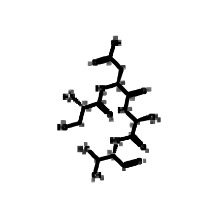 CC(C)[C@@H]([C]=O)NC(=O)[C@H](C)NC(=O)[C@H](CC(=O)O)NC(=O)[C@@H](N)CO